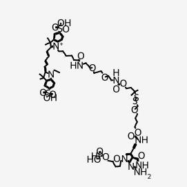 CCN1\C(=C/C=C/C=C/C2=[N+](CCCCCC(=O)NCCOCCOCCNC(=O)OCCC(C)(C)SSCOCCCCOC(=O)NC#Cc3cn(C4CCC(CO[PH](=O)O)O4)c4nc(N)[nH]c(=O)c34)c3ccc(S(=O)(=O)O)cc3C2(C)C)C(C)(C)c2cc(S(=O)(=O)O)ccc21